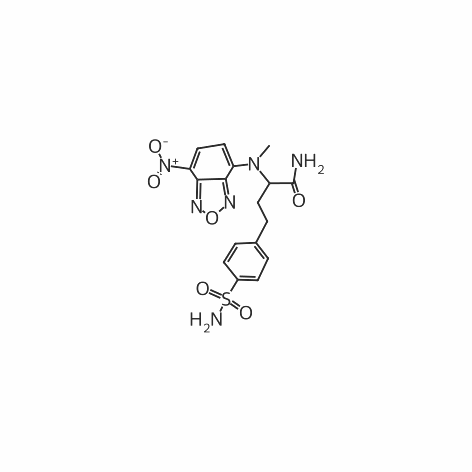 CN(c1ccc([N+](=O)[O-])c2nonc12)C(CCc1ccc(S(N)(=O)=O)cc1)C(N)=O